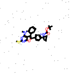 CSc1nc(N(C)C)c2c(-c3ccccc3)c(-c3ccc(C4(NC(=O)OC(C)(C)C)CCC4)cc3)oc2n1